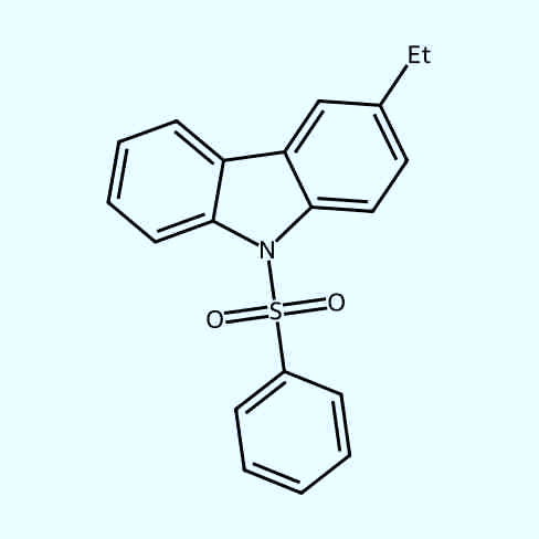 CCc1ccc2c(c1)c1ccccc1n2S(=O)(=O)c1ccccc1